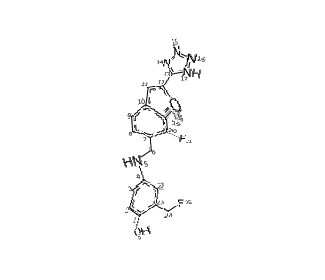 Oc1ccc(NCc2ccc3cc(-c4nnn[nH]4)oc3c2F)cc1CF